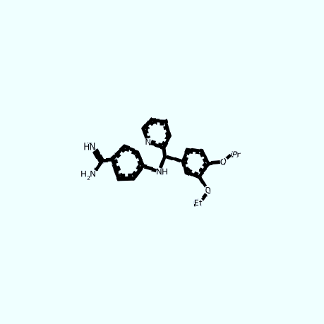 CCOc1cc(C(Nc2ccc(C(=N)N)cc2)c2ccccn2)ccc1OC(C)C